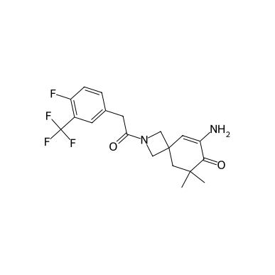 CC1(C)CC2(C=C(N)C1=O)CN(C(=O)Cc1ccc(F)c(C(F)(F)F)c1)C2